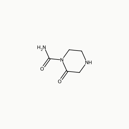 NC(=O)N1CCNCC1=O